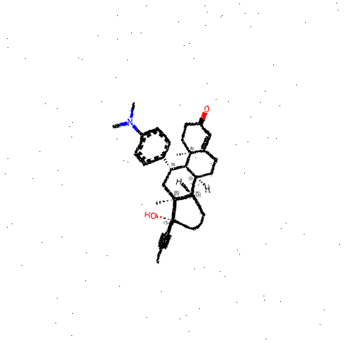 CC#C[C@]1(O)CC[C@H]2[C@@H]3CCC4=CC(=O)CC[C@]4(C)C3[C@@H](c3ccc(N(C)C)cc3)C[C@@]21C